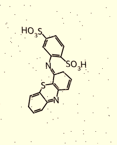 O=S(=O)(O)c1ccc(S(=O)(=O)O)c(N=C2CC=CC3=C2SC2=CCC=CC2=N3)c1